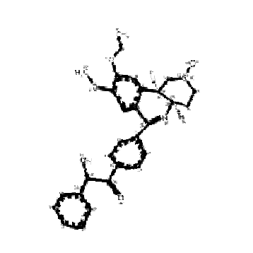 CCOc1cc2c(cc1OC)C(c1ccc(C(=O)C(O)c3ccccc3)cc1)=N[C@@H]1CC[S@+]([O-])C[C@H]21